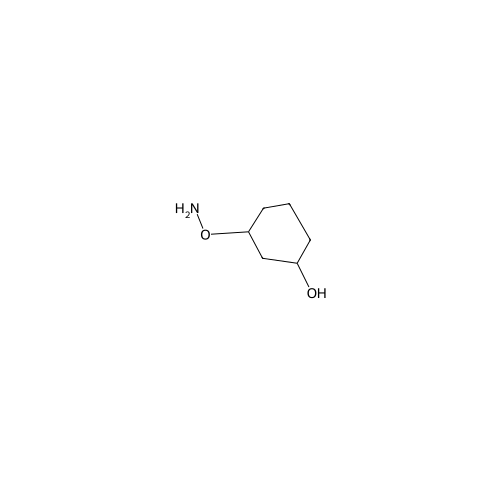 NOC1CCCC(O)C1